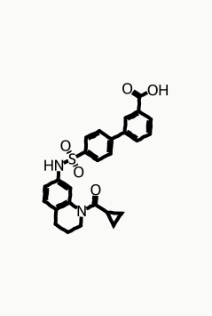 O=C(O)c1cccc(-c2ccc(S(=O)(=O)Nc3ccc4c(c3)N(C(=O)C3CC3)CCC4)cc2)c1